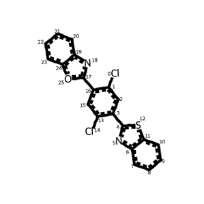 Clc1cc(-c2nc3ccccc3s2)c(Cl)cc1-c1nc2ccccc2o1